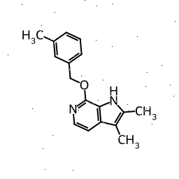 Cc1cccc(COc2nccc3c(C)c(C)[nH]c23)c1